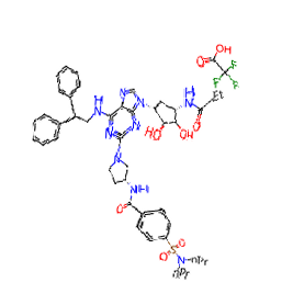 CCCN(CCC)S(=O)(=O)c1ccc(C(=O)N[C@@H]2CCN(c3nc(NCC(c4ccccc4)c4ccccc4)c4ncn([C@@H]5C[C@H](NC(=O)CC)[C@@H](O)[C@H]5O)c4n3)C2)cc1.O=C(O)C(F)(F)F